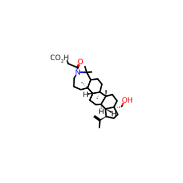 C=C(C)[C@@H]1CC[C@]2(CO)CC[C@]3(C)[C@H](CC[C@@H]4[C@@]5(C)CCCN(C(=O)CC(=O)O)C(C)(C)C5CC[C@]43C)[C@@H]12